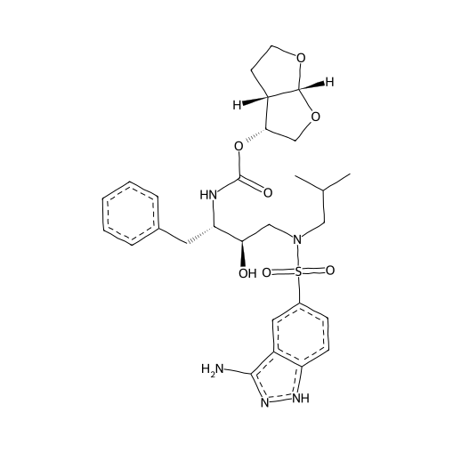 CC(C)CN(C[C@@H](O)[C@H](Cc1ccccc1)NC(=O)O[C@H]1CO[C@H]2OCC[C@H]21)S(=O)(=O)c1ccc2[nH]nc(N)c2c1